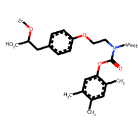 CCCCCN(CCOc1ccc(CC(OCC)C(=O)O)cc1)C(=O)Oc1cc(C)c(C)cc1C